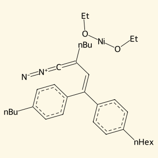 CCCCCCc1ccc(C(=CC(=C=[N+]=[N-])CCCC)c2ccc(CCCC)cc2)cc1.CC[O][Ni][O]CC